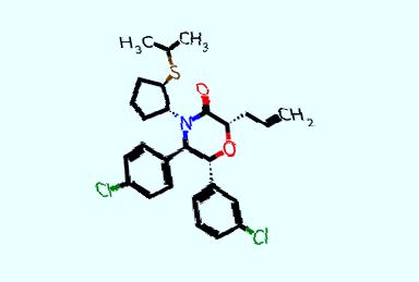 C=CC[C@@H]1O[C@H](c2cccc(Cl)c2)[C@@H](c2ccc(Cl)cc2)N([C@@H]2CCC[C@H]2SC(C)C)C1=O